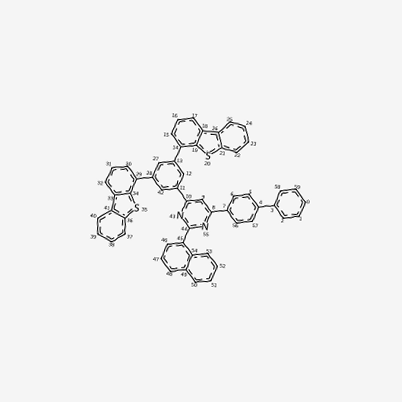 c1ccc(-c2ccc(-c3cc(-c4cc(-c5cccc6c5sc5ccccc56)cc(-c5cccc6c5sc5ccccc56)c4)nc(-c4cccc5ccccc45)n3)cc2)cc1